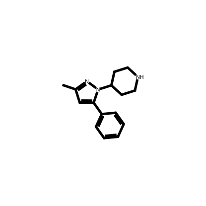 Cc1cc(-c2ccccc2)n(C2CCNCC2)n1